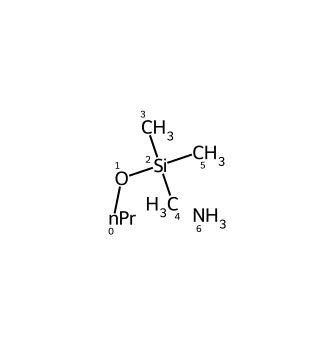 CCCO[Si](C)(C)C.N